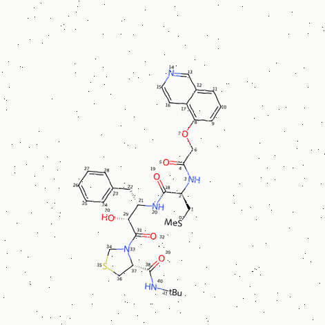 CSC[C@H](NC(=O)COc1cccc2cnccc12)C(=O)N[C@@H](Cc1ccccc1)[C@@H](O)C(=O)N1CSC[C@H]1C(=O)NC(C)(C)C